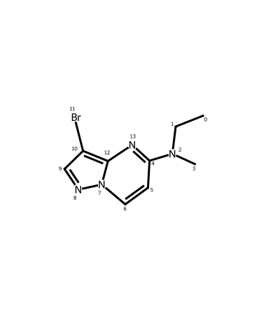 CCN(C)c1ccn2ncc(Br)c2n1